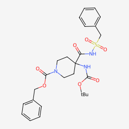 CC(C)(C)OC(=O)NC1(C(=O)NS(=O)(=O)Cc2ccccc2)CCN(C(=O)OCc2ccccc2)CC1